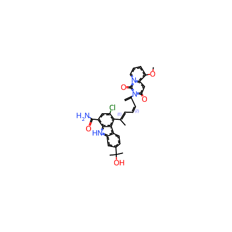 C=C(/C=C\C=C(/C)c1c(Cl)cc(C(N)=O)c2[nH]c3cc(C(C)(C)O)ccc3c12)n1c(=O)cc2c(OC)cccn2c1=O